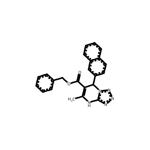 CC1=C(C(=O)OCc2ccccc2)C(c2ccc3ccccc3c2)n2nnnc2N1